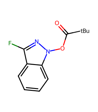 CC(C)(C)C(=O)On1nc(F)c2ccccc21